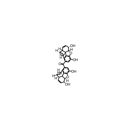 O=C(c1cc(O)c2c3c1C[C@H]1NCC[C@]34[C@H]1C=C[C@H](O)[C@@H]4O2)c1cc(O)c2c3c1C[C@H]1NCC[C@]34[C@H]1C=C[C@H](O)[C@@H]4O2